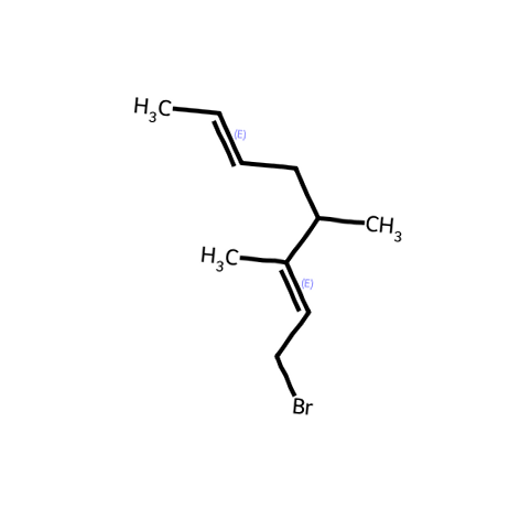 C/C=C/CC(C)/C(C)=C/CBr